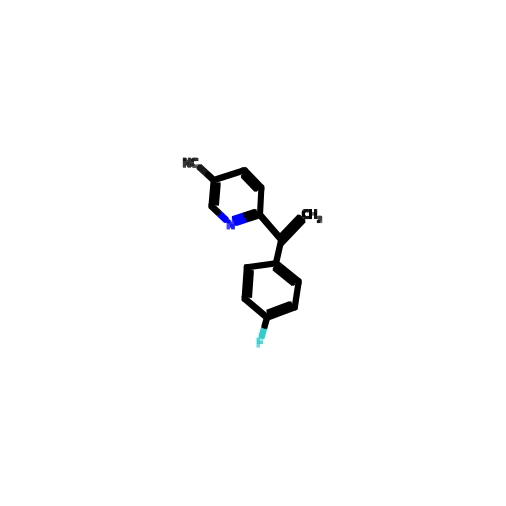 C=C(c1ccc(F)cc1)c1ccc(C#N)cn1